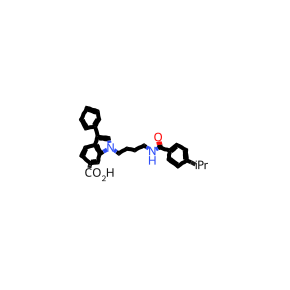 CC(C)c1ccc(C(=O)NCCCCn2cc(-c3ccccc3)c3ccc(C(=O)O)cc32)cc1